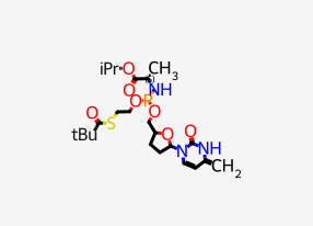 C=C1C=CN(C2CCC(COP(N[C@@H](C)C(=O)OC(C)C)OCCSC(=O)C(C)(C)C)O2)C(=O)N1